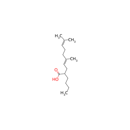 CCCCC(C/C=C(\C)CCC=C(C)C)C(=O)O